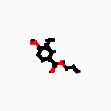 C=CCOC(=O)c1ccc(O)c(C(C)(C)C)c1